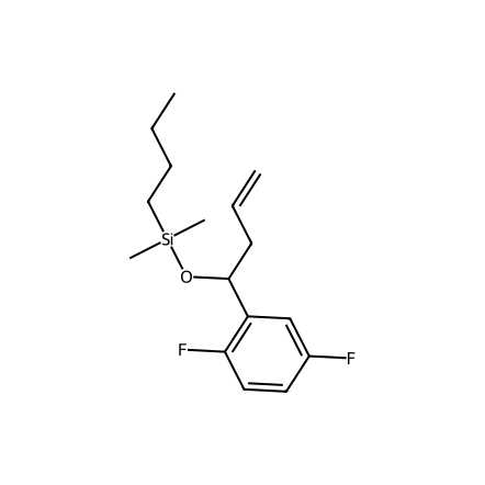 C=CCC(O[Si](C)(C)CCCC)c1cc(F)ccc1F